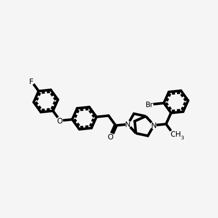 CC(c1ccccc1Br)N1CC2CC1CN2C(=O)Cc1ccc(Oc2ccc(F)cc2)cc1